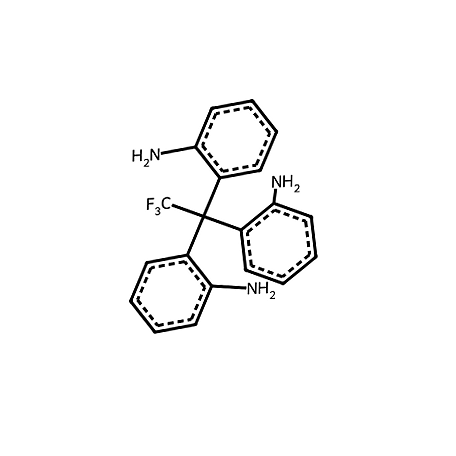 Nc1ccccc1C(c1ccccc1N)(c1ccccc1N)C(F)(F)F